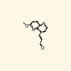 COc1ccc2nccc(C=CC=O)c2n1